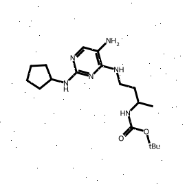 CC(CCNc1nc(NC2CCCC2)ncc1N)NC(=O)OC(C)(C)C